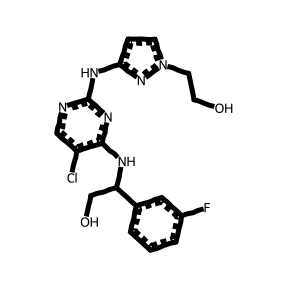 OCCn1ccc(Nc2ncc(Cl)c(NC(CO)c3cccc(F)c3)n2)n1